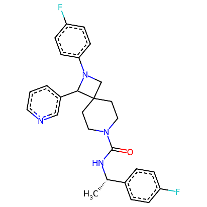 C[C@H](NC(=O)N1CCC2(CC1)CN(c1ccc(F)cc1)C2c1cccnc1)c1ccc(F)cc1